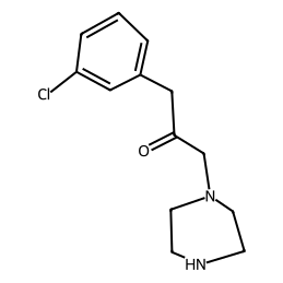 O=C(Cc1cccc(Cl)c1)CN1CCNCC1